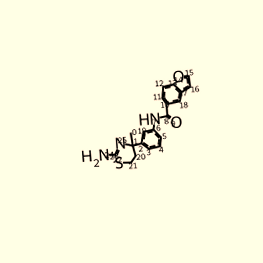 CC1(c2cccc(NC(=O)c3ccc4occc4c3)c2)CCSC(N)=N1